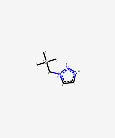 C[Si](C)(C)Cn1ccnn1